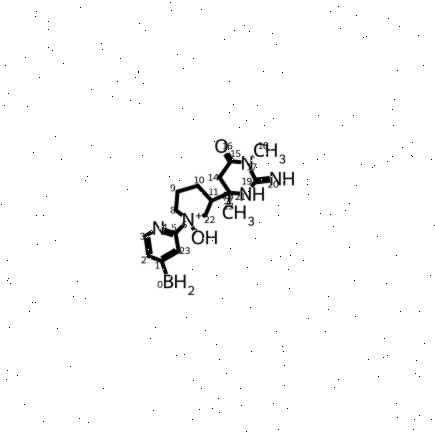 Bc1ccnc([N+]2(O)CCCC([C@]3(C)CC(=O)N(C)C(=N)N3)C2)c1